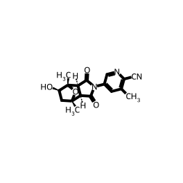 Cc1cc(N2C(=O)[C@@H]3[C@H](C2=O)[C@]2(C)O[C@@]3(C)C[C@H]2O)cnc1C#N